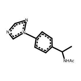 CC(=O)NC(C)c1ccc(-n2cncn2)cc1